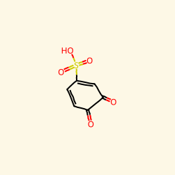 O=C1C=CC(S(=O)(=O)O)=CC1=O